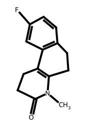 CN1C(=O)CCC2=C1CCc1ccc(F)cc12